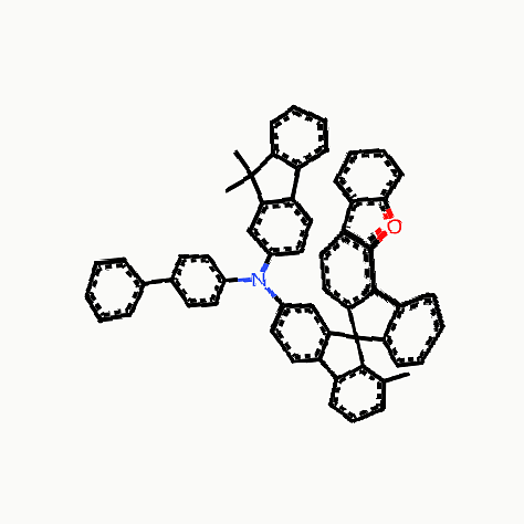 Cc1cccc2c1C1(c3cc(N(c4ccc(-c5ccccc5)cc4)c4ccc5c(c4)C(C)(C)c4ccccc4-5)ccc3-2)c2ccccc2-c2c1ccc1c2oc2ccccc21